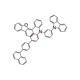 c1cc(N(c2ccc(-c3ccc(-c4cccc5ccccc45)cc3)cc2)c2ccccc2-c2cccc3c2oc2ccccc23)cc(-n2c3ccccc3c3ccccc32)c1